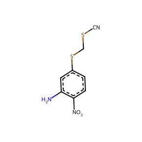 N#CSCSc1ccc([N+](=O)[O-])c(N)c1